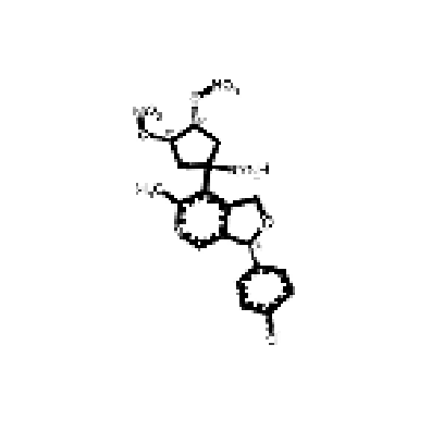 Cc1ncc2c(c1C1(C(=O)O)C[C@H](O[N+](=O)[O-])[C@H](O[N+](=O)[O-])C1)CO[C@H]2c1ccc(Cl)cc1